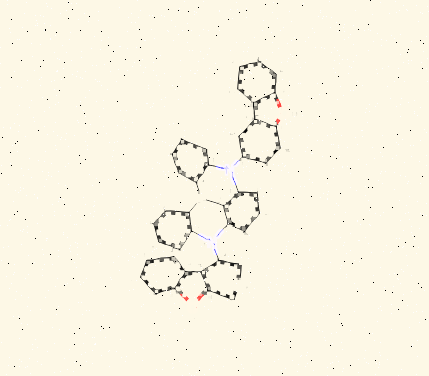 c1ccc2c(c1)B1c3ccccc3N(c3cccc4oc5ccccc5c34)c3cccc(c31)N2c1ccc2oc3ccccc3c2c1